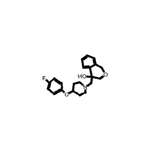 OC1(CN2CCC(Oc3ccc(F)cc3)CC2)COCc2ccccc21